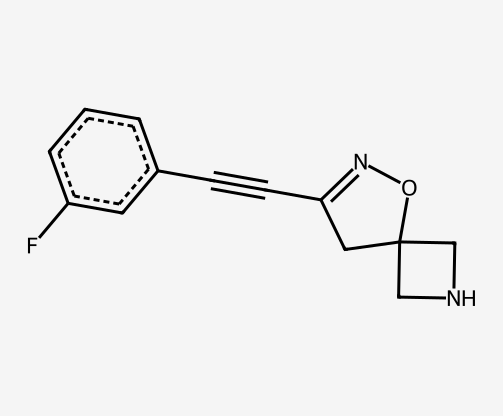 Fc1cccc(C#CC2=NOC3(CNC3)C2)c1